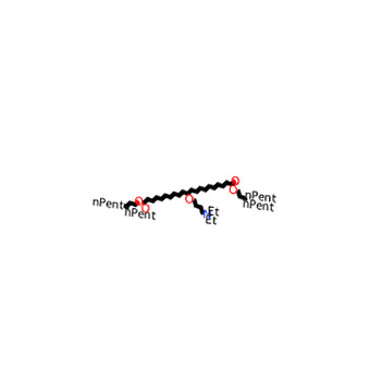 CCCCCC(CCCCC)CCOC(=O)CCCCCCCCCC(CCCCCCCCCC(=O)OCCC(CCCCC)CCCCC)OCCCCN(CC)CC